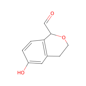 O=CC1OCCc2cc(O)ccc21